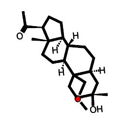 COCC12CC[C@@](C)(O)C[C@@H]1CC[C@@H]1[C@@H]2CC[C@]2(C)[C@@H](C(C)=O)CC[C@@H]12